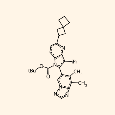 Cc1c(-c2c(C(C)C)c3nc(C4CC5(CCC5)C4)ccc3n2C(=O)OC(C)(C)C)cn2ncnc2c1C